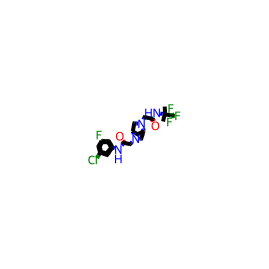 CC(C)(NC(=O)CN1CC2CC1CN2CC(=O)Nc1cc(F)cc(Cl)c1)C(F)(F)F